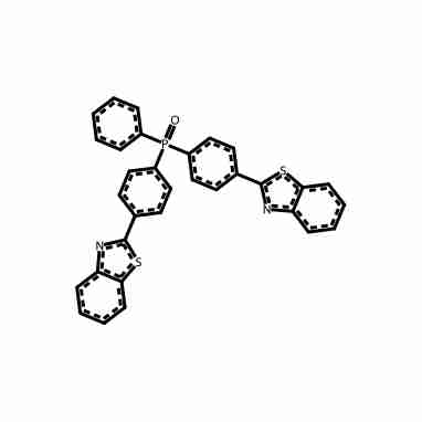 O=P(c1ccccc1)(c1ccc(-c2nc3ccccc3s2)cc1)c1ccc(-c2nc3ccccc3s2)cc1